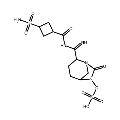 N=C(NC(=O)C1CC(S(N)(=O)=O)C1)C1CCC2CN1C(=O)N2OS(=O)(=O)O